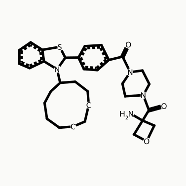 NC1(C(=O)N2CCN(C(=O)c3ccc(C4Sc5ccccc5N4C4CCCCCCCCC4)cc3)CC2)COC1